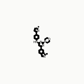 Cn1ccc(-c2ccc(Nc3cc(-c4ccc5cnn(C)c5c4)nc(N4CCOCC4)n3)cc2)n1